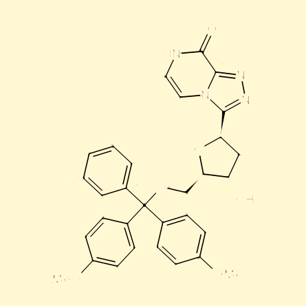 COc1ccc(C(OC[C@H]2O[C@@H](c3nnc4c(=O)[nH]ccn34)C[C@@H]2O)(c2ccccc2)c2ccc(OC)cc2)cc1